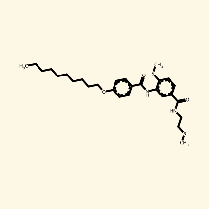 CCCCCCCCCCOc1ccc(C(=O)Nc2cc(C(=O)NCCSC)ccc2SC)cc1